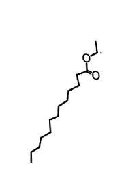 C[CH]OC(=O)CCCCCCCCCCCC